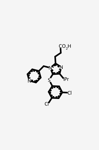 CC(C)c1nc(CCC(=O)O)n(Cc2ccncc2)c1Sc1cc(Cl)cc(Cl)c1